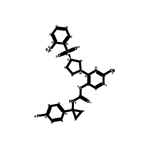 N#Cc1ncc(OC(=O)NC2(c3ccc(F)cc3)CC2)c(N2CC[C@H](S(=O)(=O)c3ccccc3C(F)(F)F)C2)n1